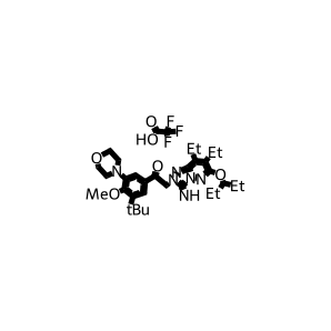 CCc1c(OC(CC)CC)nn2c(=N)n(CC(=O)c3cc(N4CCOCC4)c(OC)c(C(C)(C)C)c3)nc2c1CC.O=C(O)C(F)(F)F